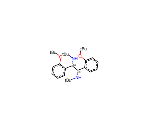 CC(C)(C)N[C@@H](c1ccccc1OC(C)(C)C)[C@@H](NC(C)(C)C)c1ccccc1OC(C)(C)C